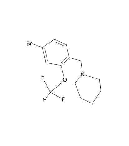 FC(F)(F)Oc1cc(Br)ccc1CN1CC[CH]CC1